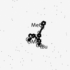 COC(=O)CN1CCCc2ccc(COC3CN(C(=O)OC(C)(C)C)CCC3c3ccc(OCCCOCc4ccccc4OC)cc3)cc21